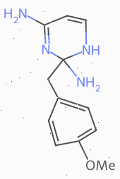 COc1ccc(CC2(N)N=C(N)C=CN2)cc1